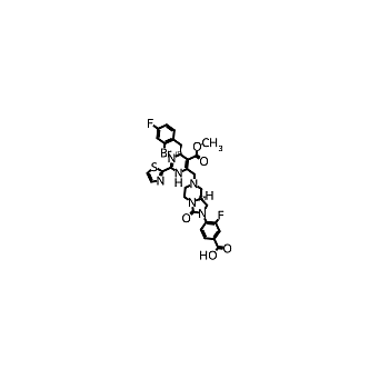 COC(=O)C1=C(CN2CCN3C(=O)N(c4ccc(C(=O)O)cc4F)C[C@@H]3C2)NC(c2nccs2)=N[C@H]1Cc1ccc(F)cc1Br